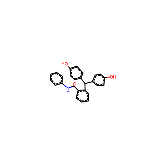 O=C(Nc1ccccc1)c1ccccc1C(c1ccc(O)cc1)c1ccc(O)cc1